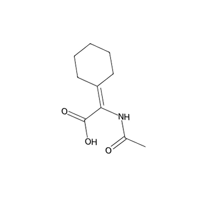 CC(=O)NC(C(=O)O)=C1CCCCC1